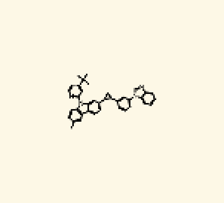 Cc1ccc2c(c1)c1ccc(C3CC3c3cccc(-n4cnc5ccccc54)c3)cc1n2-c1cc(C(C)(C)C)ccn1